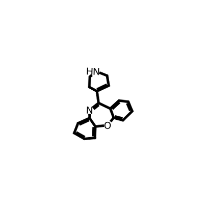 C1=C(C2=Nc3ccccc3Oc3ccccc32)CCNC1